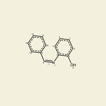 Oc1ccccc1/N=C\c1ccccc1